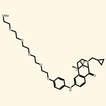 COCCOCCOCCOCCOCCOc1ccc(Nc2ccc3c(c2)[C@]2(C)CCN(CC4CC4)C(C3=O)[C@@H]2C)cc1